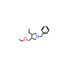 CCOCC1CN(Cc2ccccc2)CC1CC